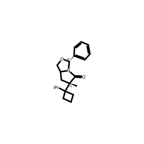 CC(C)C1([C@]2(C)CC3CO[C@H](c4ccccc4)N3C2=O)CCC1